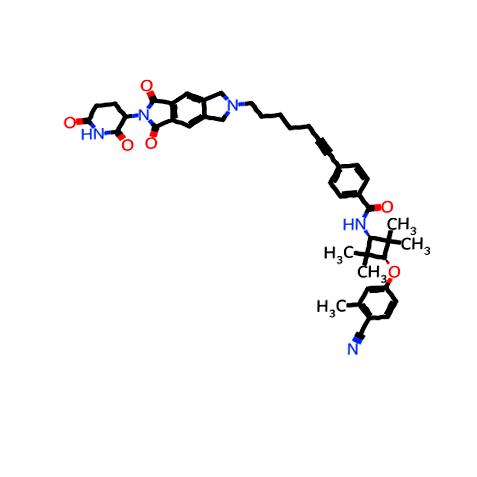 Cc1cc(O[C@H]2C(C)(C)[C@H](NC(=O)c3ccc(C#CCCCCCN4Cc5cc6c(cc5C4)C(=O)N(C4CCC(=O)NC4=O)C6=O)cc3)C2(C)C)ccc1C#N